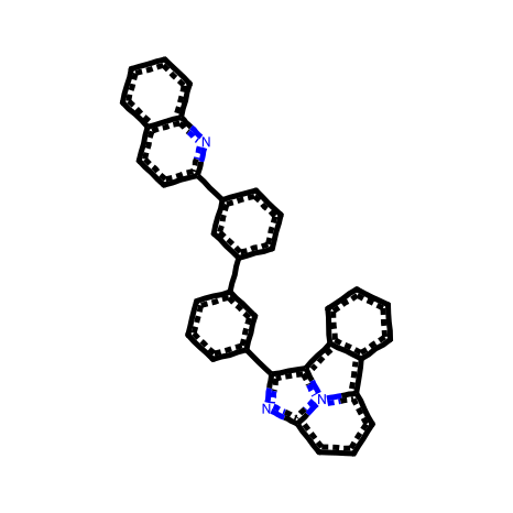 c1cc(-c2cccc(-c3nc4cccc5c6ccccc6c3n45)c2)cc(-c2ccc3ccccc3n2)c1